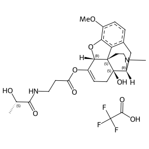 COc1ccc2c3c1O[C@H]1C(OC(=O)CCNC(=O)[C@H](C)O)=CC[C@@]4(O)[C@@H](C2)N(C)CC[C@]314.O=C(O)C(F)(F)F